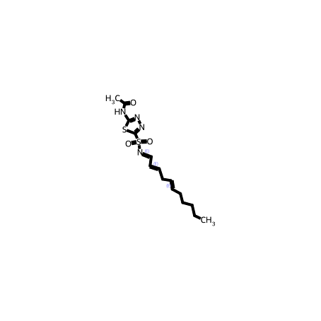 CCCCC/C=C/C/C=C/C=N/S(=O)(=O)c1nnc(NC(C)=O)s1